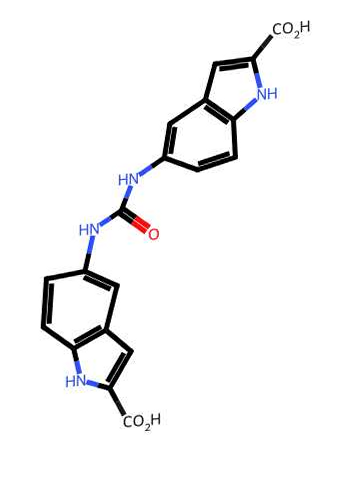 O=C(Nc1ccc2[nH]c(C(=O)O)cc2c1)Nc1ccc2[nH]c(C(=O)O)cc2c1